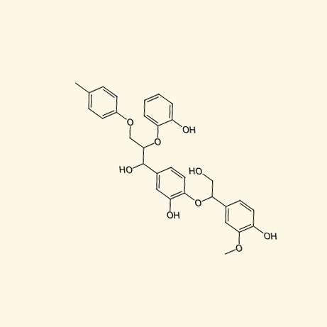 COc1cc(C(CO)Oc2ccc(C(O)C(COc3ccc(C)cc3)Oc3ccccc3O)cc2O)ccc1O